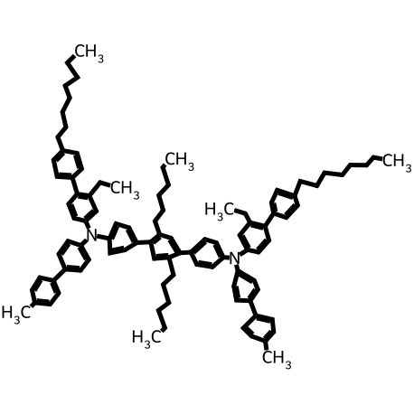 CCCCCCCCc1ccc(-c2ccc(N(c3ccc(-c4ccc(C)cc4)cc3)c3ccc(-c4cc(CCCCCC)c(-c5ccc(N(c6ccc(-c7ccc(C)cc7)cc6)c6ccc(-c7ccc(CCCCCCCC)cc7)c(CC)c6)cc5)cc4CCCCCC)cc3)cc2CC)cc1